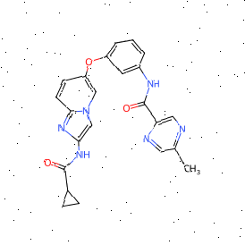 Cc1cnc(C(=O)Nc2cccc(Oc3ccc4nc(NC(=O)C5CC5)cn4c3)c2)cn1